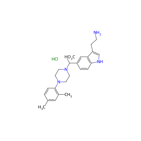 Cc1ccc(N2CCN(C(C(=O)O)c3ccc4[nH]cc(CCN)c4c3)CC2)c(C)c1.Cl